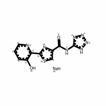 O=C(Nc1nnn[nH]1)c1csc(-c2ncccc2O)n1.[NaH]